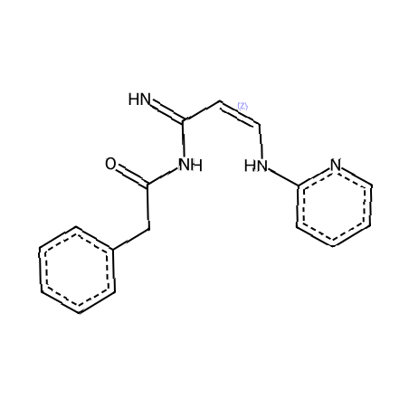 N=C(/C=C\Nc1ccccn1)NC(=O)Cc1ccccc1